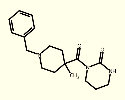 CC1(C(=O)N2CCCNC2=O)CCN(Cc2ccccc2)CC1